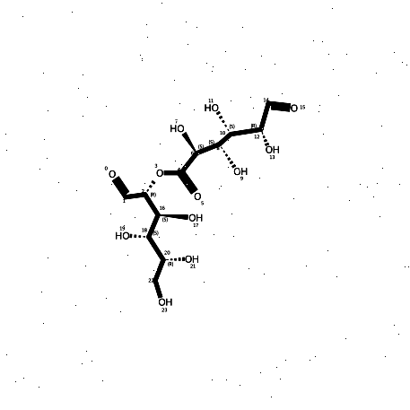 O=C[C@H](OC(=O)[C@@H](O)[C@@H](O)[C@H](O)[C@@H](O)C=O)[C@@H](O)[C@@H](O)[C@H](O)CO